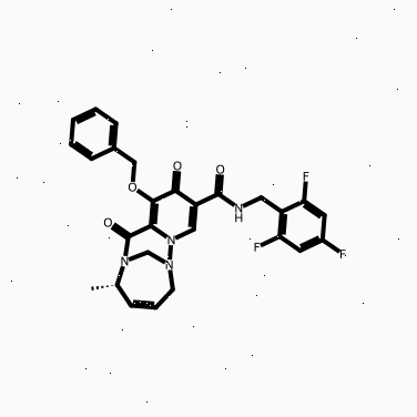 C[C@H]1C=CCN2CN1C(=O)c1c(OCc3ccccc3)c(=O)c(C(=O)NCc3c(F)cc(F)cc3F)cn12